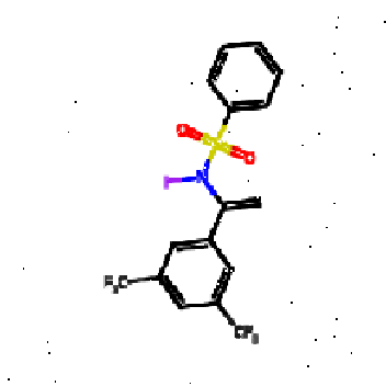 C=C(c1cc(C(F)(F)F)cc(C(F)(F)F)c1)N(I)S(=O)(=O)c1ccccc1